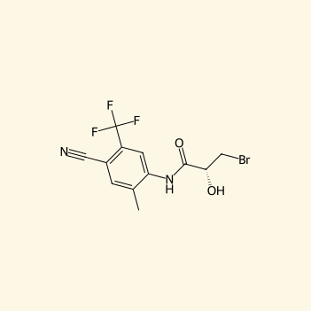 Cc1cc(C#N)c(C(F)(F)F)cc1NC(=O)[C@@H](O)CBr